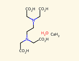 O.O=C(O)CN(CCN(CC(=O)O)CC(=O)O)CC(=O)O.[CaH2]